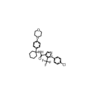 O=C(NC1(c2ccc(N3CCOCC3)cc2)CCCCC1)c1cnn(-c2ccc(Cl)cc2)c1C(F)(F)F